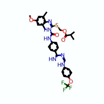 COc1cc(C)c(/N=C(\NC(=O)Nc2ccc(C(=N)/N=C\Nc3ccc(OC(F)(F)F)cc3)cc2)SCOC(=O)C(C)C)c(C)c1